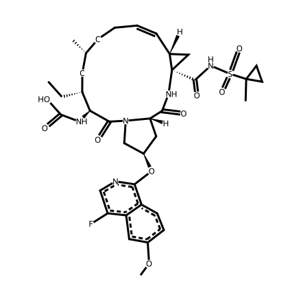 CC[C@@H]1C[C@H](C)CC/C=C\[C@@H]2C[C@@]2(C(=O)NS(=O)(=O)C2(C)CC2)NC(=O)[C@@H]2C[C@@H](Oc3ncc(F)c4cc(OC)ccc34)CN2C(=O)[C@H]1NC(=O)O